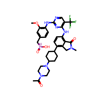 COc1cc(C[PH](=O)O)ccc1Nc1ncc(C(F)(F)F)c(Nc2ccc(C3CCC(N4CCN(C(C)=O)CC4)CC3)c3c2C(=O)N(C)C3)n1